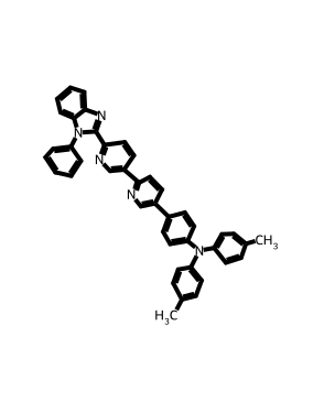 Cc1ccc(N(c2ccc(C)cc2)c2ccc(-c3ccc(-c4ccc(-c5nc6ccccc6n5-c5ccccc5)nc4)nc3)cc2)cc1